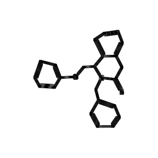 S=C1Cc2ccccc2C(COc2ccccc2)N1Cc1ccccc1